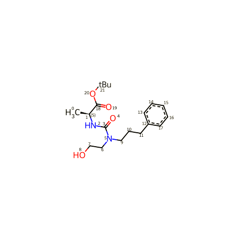 C[C@H](NC(=O)N(CCO)CCCc1ccccc1)C(=O)OC(C)(C)C